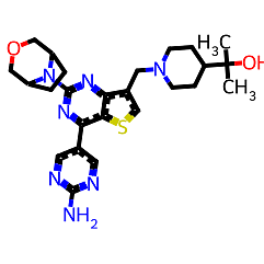 CC(C)(O)C1CCN(Cc2csc3c(-c4cnc(N)nc4)nc(N4C5CCC4COC5)nc23)CC1